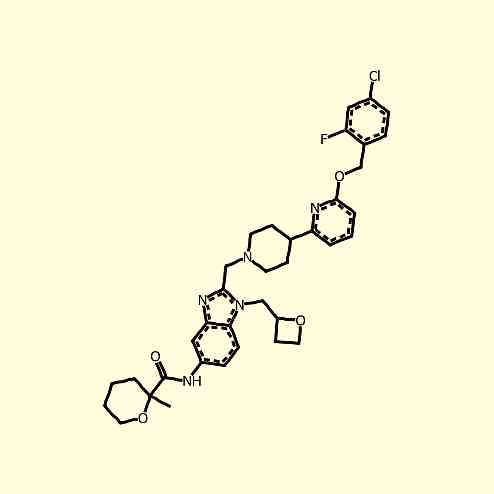 CC1(C(=O)Nc2ccc3c(c2)nc(CN2CCC(c4cccc(OCc5ccc(Cl)cc5F)n4)CC2)n3CC2CCO2)CCCCO1